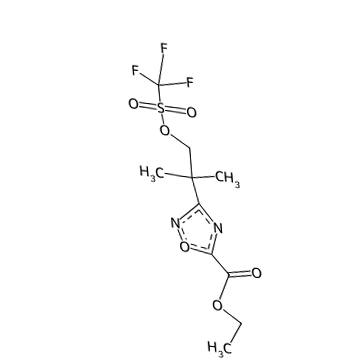 CCOC(=O)c1nc(C(C)(C)COS(=O)(=O)C(F)(F)F)no1